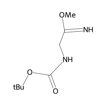 COC(=N)CNC(=O)OC(C)(C)C